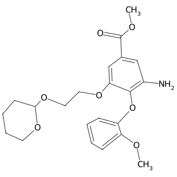 COC(=O)c1cc(N)c(Oc2ccccc2OC)c(OCCOC2CCCCO2)c1